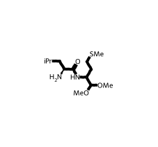 COC(OC)C(CCSC)NC(=O)[C@@H](N)CC(C)C